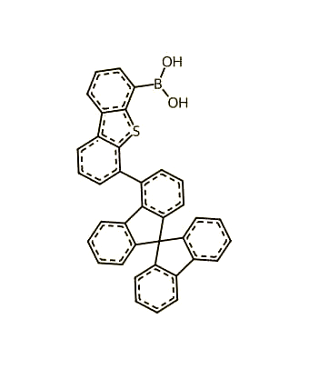 OB(O)c1cccc2c1sc1c(-c3cccc4c3-c3ccccc3C43c4ccccc4-c4ccccc43)cccc12